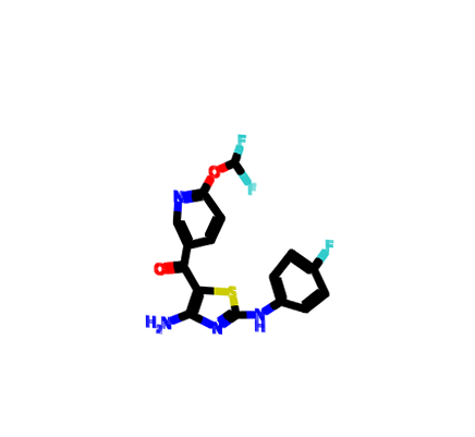 Nc1nc(Nc2ccc(F)cc2)sc1C(=O)c1ccc(OC(F)F)nc1